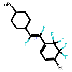 CCCC1CCC(/C(F)=C(\F)C2=CC=C(CC)C(F)(F)C2(F)F)CC1